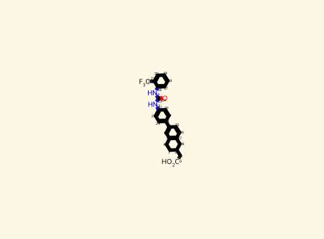 O=C(O)CC1CCc2cc(-c3ccc(NC(=O)Nc4ccccc4C(F)(F)F)cc3)ccc2C1